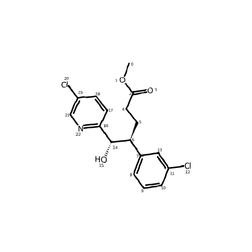 COC(=O)CC[C@@H](c1cccc(Cl)c1)[C@H](O)c1ccc(Cl)cn1